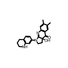 Cc1cc2c(cc1C)C(=O)C1(O)CCN(c3ccc4c(c3)NCCC4)C1=N2